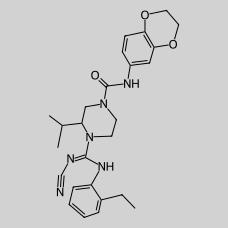 CCc1ccccc1N/C(=N\C#N)N1CCN(C(=O)Nc2ccc3c(c2)OCCO3)CC1C(C)C